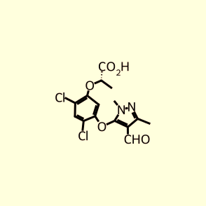 Cc1nn(C)c(Oc2cc(O[C@@H](C)C(=O)O)c(Cl)cc2Cl)c1C=O